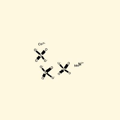 O=S(=O)([O-])[O-].O=S(=O)([O-])[O-].O=S(=O)([O-])[O-].[Co+2].[Mn+2].[Ni+2]